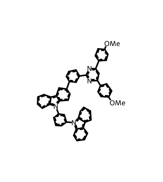 COc1ccc(-c2cc(-c3ccc(OC)cc3)nc(-c3cccc(-c4ccc5c(c4)c4ccccc4n5-c4cccc(-n5c6ccccc6c6ccccc65)c4)c3)n2)cc1